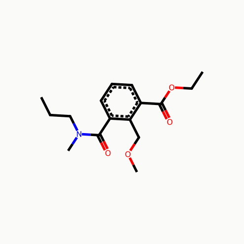 CCCN(C)C(=O)c1cccc(C(=O)OCC)c1COC